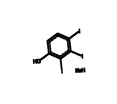 Oc1ccc(I)c(I)c1I.[NaH]